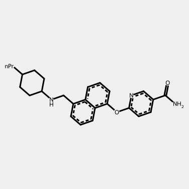 CCCC1CCC(NCc2cccc3c(Oc4ccc(C(N)=O)cn4)cccc23)CC1